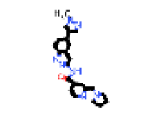 Cn1cc(-c2ccc3nnc(NC(=O)c4ccnc(CN5CCCC5)c4)cc3c2)cn1